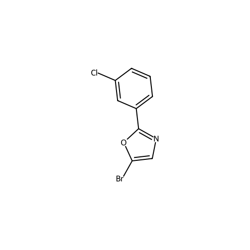 Clc1cccc(-c2ncc(Br)o2)c1